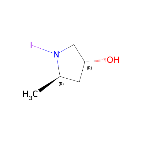 C[C@@H]1C[C@@H](O)CN1I